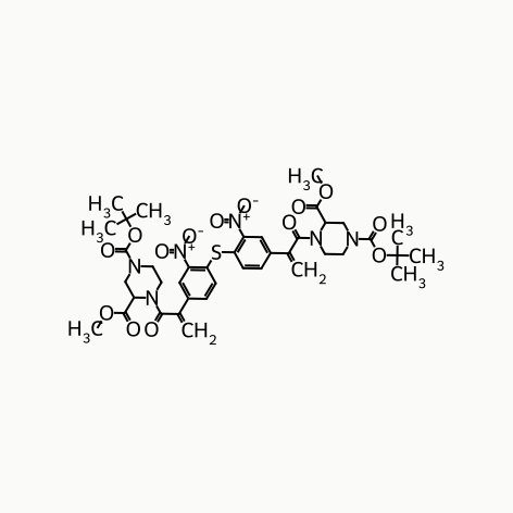 C=C(C(=O)N1CCN(C(=O)OC(C)(C)C)CC1C(=O)OC)c1ccc(Sc2ccc(C(=C)C(=O)N3CCN(C(=O)OC(C)(C)C)CC3C(=O)OC)cc2[N+](=O)[O-])c([N+](=O)[O-])c1